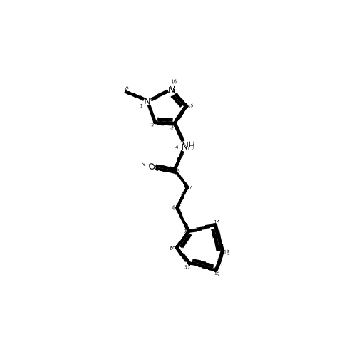 Cn1cc(NC(=O)CCc2ccccc2)cn1